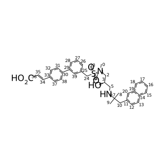 CN(C[C@H](O)CNC(C)(C)Cc1ccc2ccccc2c1)S(=O)(=O)Cc1cccc(-c2ccc(C=CC(=O)O)cc2)c1